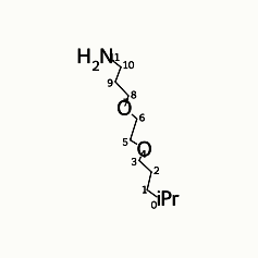 CC(C)CCCOCCOCCCN